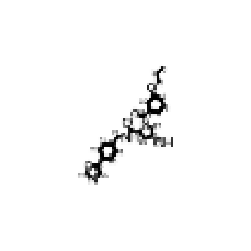 CCCOc1cccc(C(=O)N2C[C@H](O)C[C@H]2C(=O)NCc2ccc(-c3cnco3)cc2)c1